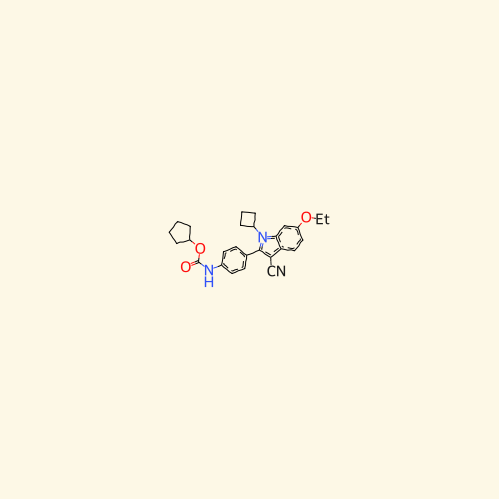 CCOc1ccc2c(C#N)c(-c3ccc(NC(=O)OC4CCCC4)cc3)n(C3CCC3)c2c1